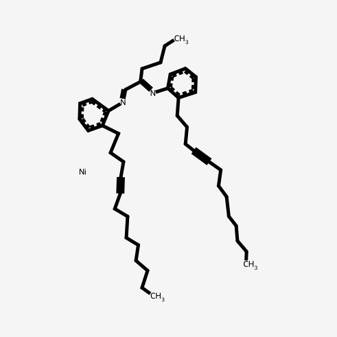 CCCCCCCCC#CCCCc1ccccc1N=CC(CCCC)=Nc1ccccc1CCCC#CCCCCCCCC.[Ni]